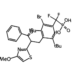 COc1csc(C(Cc2c(C(C)(C)C)cc(C(F)(F)P(=O)(O)O)c(Br)c2C(C)(C)C)C(=O)c2ccccc2)n1